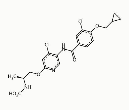 C[C@@H](COc1cc(Cl)c(NC(=O)c2ccc(OCC3CC3)c(Cl)c2)cn1)NC(=O)O